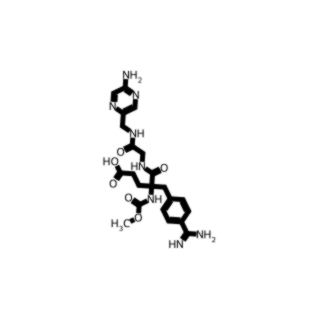 COC(=O)NC(CCC(=O)O)(Cc1ccc(C(=N)N)cc1)C(=O)NCC(=O)NCc1cnc(N)cn1